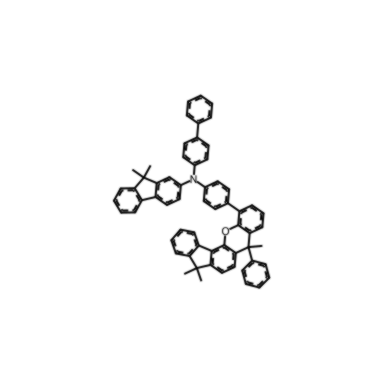 CC1(C)c2ccccc2-c2ccc(N(c3ccc(-c4ccccc4)cc3)c3ccc(-c4cccc5c4Oc4c(ccc6c4-c4ccccc4C6(C)C)C5(C)c4ccccc4)cc3)cc21